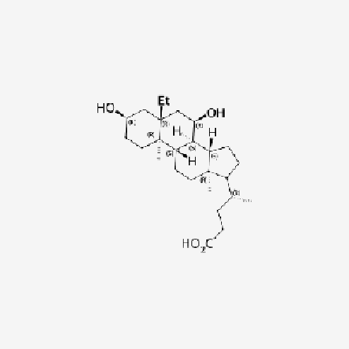 CC[C@]12C[C@H](O)CC[C@]1(C)[C@H]1CC[C@]3(C)C([C@H](C)CCC(=O)O)CC[C@H]3[C@@H]1[C@H](O)C2